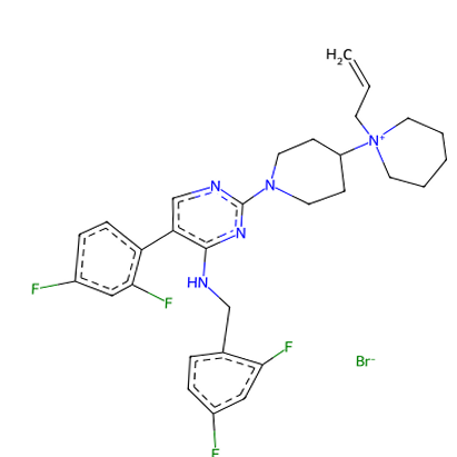 C=CC[N+]1(C2CCN(c3ncc(-c4ccc(F)cc4F)c(NCc4ccc(F)cc4F)n3)CC2)CCCCC1.[Br-]